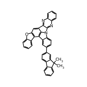 CC1(C)c2ccccc2-c2ccc(-c3ccc4c(c3)c3c5c(cc6c7nc8ccccc8nc7n4c63)oc3ccccc35)cc21